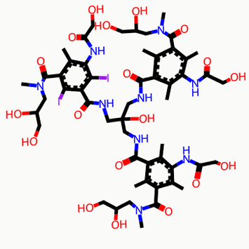 Cc1c(NC(=O)CO)c(C)c(C(=O)N(C)CC(O)CO)c(C)c1C(=O)NCC(O)(CNC(=O)c1c(C)c(NC(=O)CO)c(C)c(C(=O)N(C)CC(O)CO)c1C)CNC(=O)c1c(I)c(NC(=O)CO)c(C)c(C(=O)N(C)CC(O)CO)c1I